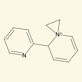 C1=CC(c2ccccn2)[N+]2(C=C1)CC2